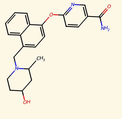 CC1CC(O)CCN1Cc1ccc(Oc2ccc(C(N)=O)cn2)c2ccccc12